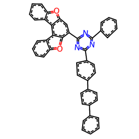 c1ccc(-c2ccc(-c3ccc(-c4nc(-c5ccccc5)nc(-c5cc6oc7ccccc7c6c6c5oc5ccccc56)n4)cc3)cc2)cc1